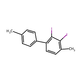 Cc1ccc(-c2ccc(C)c(I)c2I)cc1